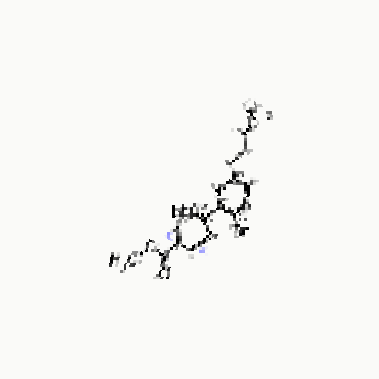 C=C(/C=C\C(=C/C)C(=O)OC)c1nc(CCCOC)cnc1Br